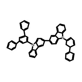 C1=CC(c2ccccc2)CC(n2c3ccccc3c3cc(-c4ccc5c(c4)c4ccccc4n5-c4cc(-c5ccccc5)cc(-c5ccccc5)c4)ccc32)=C1